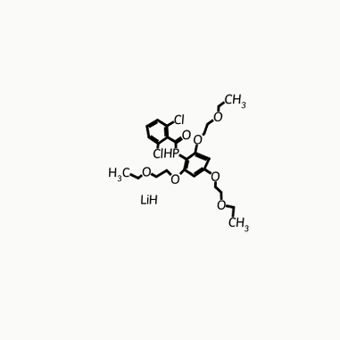 CCOCCOc1cc(OCCOCC)c(PC(=O)c2c(Cl)cccc2Cl)c(OCCOCC)c1.[LiH]